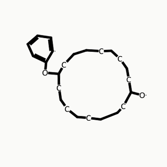 [O]C1CCCCCCCCC(Oc2[c]cccc2)CCCCCCCC1